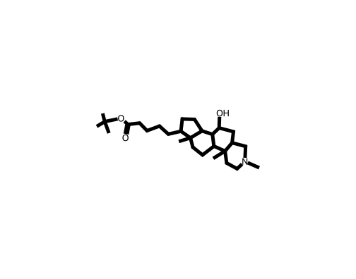 CN1CCC2(C)C(CC(O)C3C4CCC(CCCCC(=O)OC(C)(C)C)C4(C)CCC32)C1